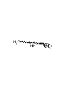 CCCCCCCCCCCCCCCCCCCCCCP(CC)CC.I